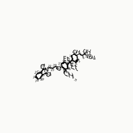 CCC(CC)(c1ccc(CCC(O)C(C)(C)C)c(C)c1)c1ccc(OCCCN2C(=O)c3ccccc3C2=O)c(C)c1